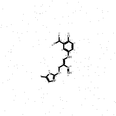 Cc1cnc(OC/C(=C/Nc2ccc(Cl)c(C(F)F)c2)N=N)s1